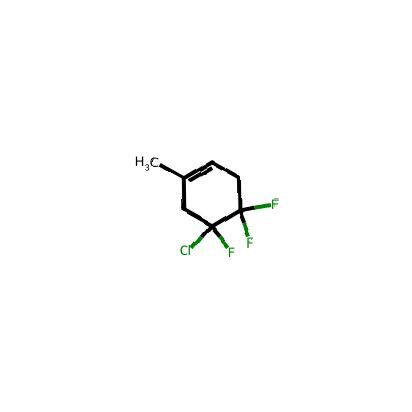 CC1=CCC(F)(F)C(F)(Cl)C1